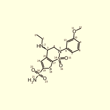 CCN[C@H]1CN(c2cccc(OC)c2)S(=O)(=O)c2sc(S(N)(=O)=O)cc21